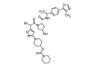 Cc1ncsc1-c1ccc([C@H](C)NC(=O)[C@@H]2C[C@@H](O)CN2C(=O)C(c2cc(N3CCC(OC(=O)N4CCCCC4)CC3)no2)C(C)C)cc1